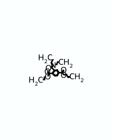 C=CCOC(=O)c1ccc(C(=O)OCC=C)c(C(=O)N(CC=C)CC=C)c1